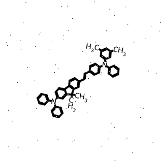 Cc1cc(C)cc(N(c2ccccc2)c2ccc(/C=C/c3ccc4c(c3)C(C)(C)c3cc(N(c5ccccc5)c5ccccc5)ccc3-4)cc2)c1